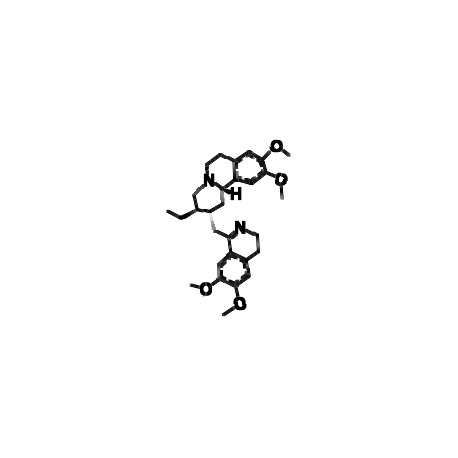 CC[C@H]1CN2CCc3cc(OC)c(OC)cc3[C@@H]2C[C@@H]1CC1=NCCc2cc(OC)c(OC)cc21